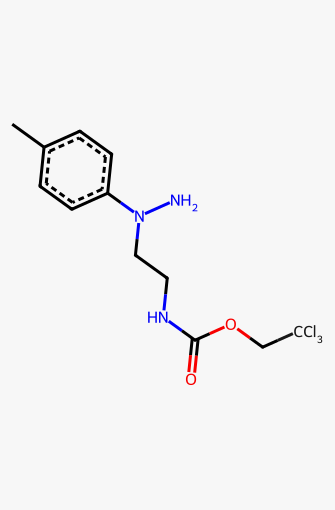 Cc1ccc(N(N)CCNC(=O)OCC(Cl)(Cl)Cl)cc1